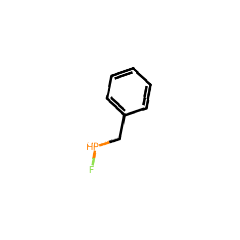 FPCc1ccccc1